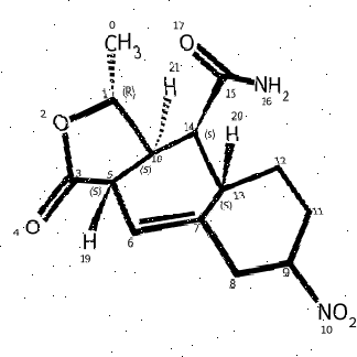 C[C@H]1OC(=O)[C@H]2C=C3CC([N+](=O)[O-])CC[C@H]3[C@H](C(N)=O)[C@@H]21